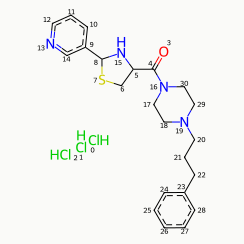 Cl.Cl.Cl.O=C(C1CSC(c2cccnc2)N1)N1CCN(CCCc2ccccc2)CC1